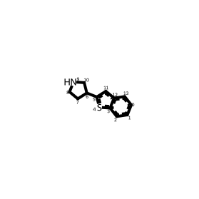 c1ccc2sc(C3CCNC3)cc2c1